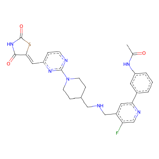 CC(=O)Nc1cccc(-c2cc(CNCC3CCN(c4nccc(/C=C5\SC(=O)NC5=O)n4)CC3)c(F)cn2)c1